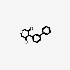 O=C1COCC(=O)C1c1cccc(-c2ccccc2)c1